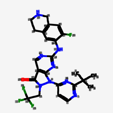 CC(C)(C)c1nccc(-n2c3nc(Nc4cc5c(cc4F)CNCC5)ncc3c(=O)n2CC(F)(F)F)n1